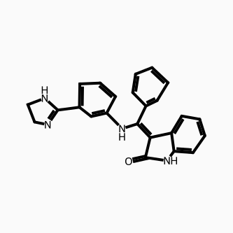 O=C1Nc2ccccc2/C1=C(/Nc1cccc(C2=NCCN2)c1)c1ccccc1